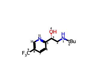 CC(C)(C)NC[C@@H](O)c1ccc(C(F)(F)F)cn1